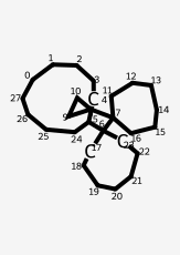 C1CCCCC(C2(C3(C4CC4)CCCCCC3)CCCCCCC2)CCCC1